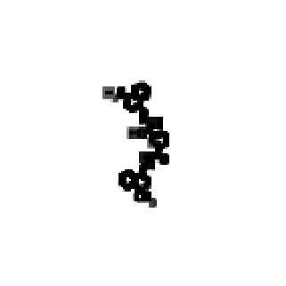 C[n+]1ccc(/C=N/NC(=O)c2cccc(C(O)N/N=C/c3cc[n+](C)c4ccccc34)n2)c2ccccc21